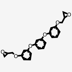 c1cc(OCC2CO2)cc(Oc2cccc(Oc3cccc(OCC4CO4)c3)c2)c1